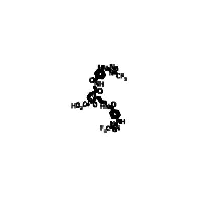 O=C(O)CN1CCN(C(=O)CNC(=O)c2ccc(Nc3noc(C(F)(F)F)n3)cc2)[C@@H](CCCNC(=O)c2ccc(Nc3noc(C(F)(F)F)n3)cc2)C1=O